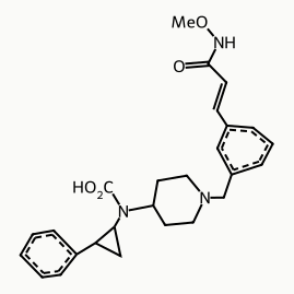 CONC(=O)C=Cc1cccc(CN2CCC(N(C(=O)O)C3CC3c3ccccc3)CC2)c1